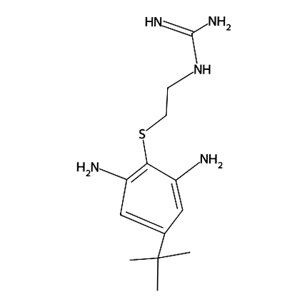 CC(C)(C)c1cc(N)c(SCCNC(=N)N)c(N)c1